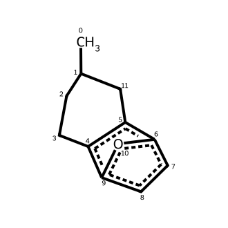 CC1CCc2c(c3ccc2o3)C1